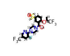 C=S(C)(=O)c1ccc(OC(C)C(F)(F)F)c(C(=O)N2CCN(c3ncc(C(F)(F)F)cc3F)CC2)c1